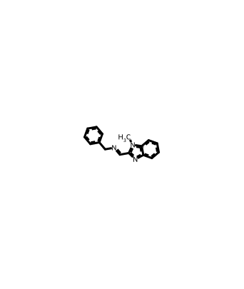 Cn1c(/C=N/Cc2ccccc2)nc2ccccc21